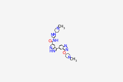 CN1CCC(Oc2ncnc3ccc(-c4c[nH]c5ncc(C(=O)Nc6cnn(C7CCN(C)CC7)c6)cc45)cc23)CC1